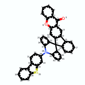 O=c1c2ccccc2oc2cc3c(cc12)-c1ccccc1C31c2ccccc2N(c2ccc3c(c2)sc2ccccc23)c2ccccc21